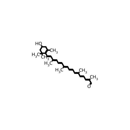 CC1=C(/C=C/C(C)=C/C=C/C(C)=C/C=C/C=C(C)/C=C/C=C(\C)C=O)C(C)(C)CC(O)C1